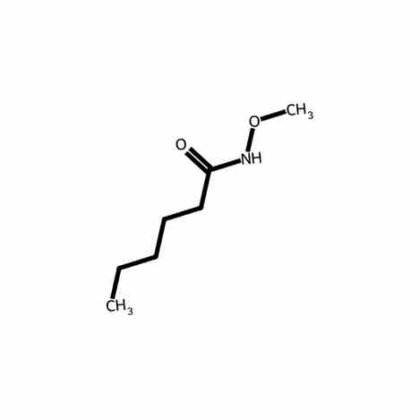 CCCCCC(=O)NOC